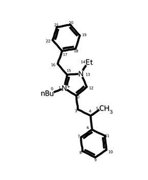 CCCC[n+]1c(CC(C)c2ccccc2)cn(CC)c1Cc1ccccc1